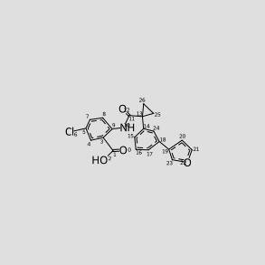 O=C(O)c1cc(Cl)ccc1NC(=O)C1(c2cccc(-c3ccoc3)c2)CC1